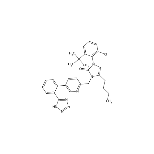 CCCCc1cn(-c2c(Cl)cccc2C(C)(C)C)c(=O)n1Cc1ccc(-c2ccccc2-c2nnn[nH]2)cn1